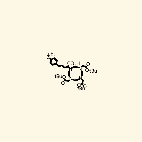 CCCCOc1ccc(CCCC(C(=O)O)N2CCN(CC(=O)OC(C)(C)C)CCN(CC(=O)OC(C)(C)C)CCN(CC(=O)OC(C)(C)C)CC2)cc1